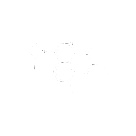 COC(=O)C(C)c1ncc(N2CCC2C)c2cnc(Cl)cc12